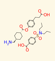 CCCN(CCC)S(=O)(=O)c1ccc(C(=O)O)cc1.NC[C@H]1CC[C@H](C(=O)Oc2ccc(CCC(=O)O)cc2)CC1